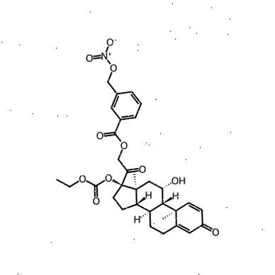 CCOC(=O)O[C@]1(C(=O)COC(=O)c2cccc(CO[N+](=O)[O-])c2)CC[C@H]2[C@@H]3CCC4=CC(=O)C=C[C@]4(C)[C@H]3[C@@H](O)C[C@@]21C